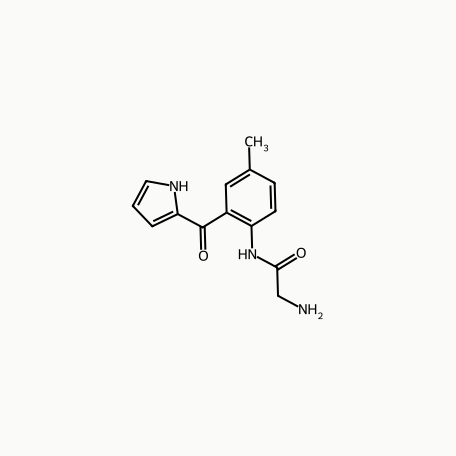 Cc1ccc(NC(=O)CN)c(C(=O)c2ccc[nH]2)c1